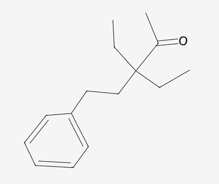 CCC(CC)(CCc1ccccc1)C(C)=O